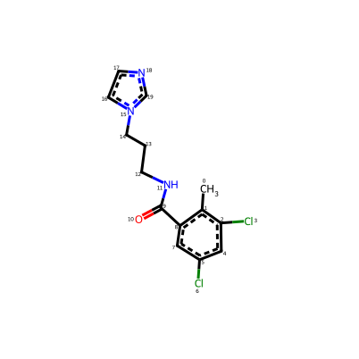 Cc1c(Cl)cc(Cl)cc1C(=O)NCCCn1ccnc1